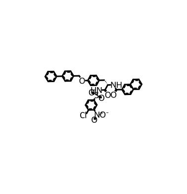 O=C(N[C@@H](Cc1ccc(OCc2ccc(-c3ccccc3)cc2)cc1)C(=O)NS(=O)(=O)c1ccc(Cl)c([N+](=O)[O-])c1)c1ccc2ccccc2c1